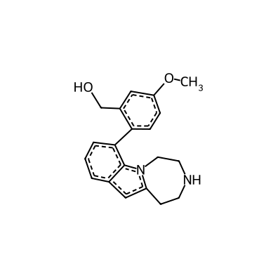 COc1ccc(-c2cccc3cc4n(c23)CCNCC4)c(CO)c1